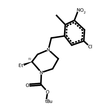 CC[C@H]1CN(Cc2cc(Cl)cc([N+](=O)[O-])c2C)CCN1C(=O)OC(C)(C)C